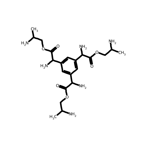 CC(N)COC(=O)C(N)c1cc(C(N)C(=O)OCC(C)N)cc(C(N)C(=O)OCC(C)N)c1